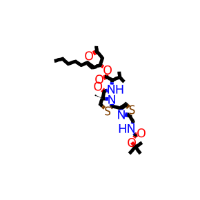 CCCCC/C=C/C(CC(C)=O)OC(=O)C(NC(=O)[C@]1(C)CSC(c2csc(CNC(=O)OC(C)(C)C)n2)=N1)C(C)C